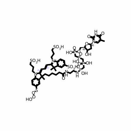 Cc1cn([C@H]2CC(O)[C@@H](COP(=O)(O)CP(=O)(O)CP(=O)(O)CP(=O)(O)NCCNC(=O)CCCCCC3(C)/C(=C\C=C\C4=[N+](CCCS(=O)(=O)O)c5ccc(S(=O)(=O)O)cc5C4(C)C)N(CCCS(=O)(=O)O)c4ccc(SOOO)cc43)O2)c(=O)[nH]c1=O